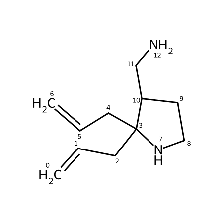 C=CCC1(CC=C)NCCC1CN